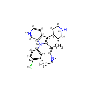 C/C=N\C=C(/C)c1c(C2CCNCC2)c2ccncc2n1-c1ccc(Cl)cc1